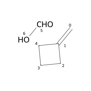 C=C1CCC1.O=CO